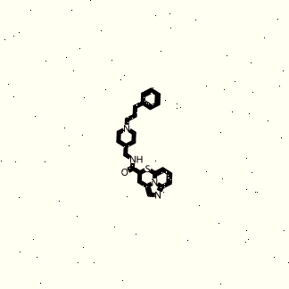 O=C(NCC1CCN(CCCc2ccccc2)CC1)C1Cc2cnc3cccc(n23)S1